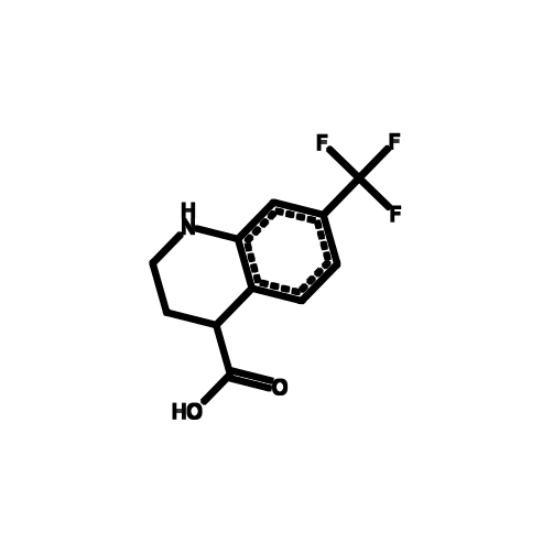 O=C(O)C1CCNc2cc(C(F)(F)F)ccc21